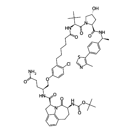 Cc1ncsc1-c1ccc([C@H](C)NC(=O)[C@@H]2C[C@@H](O)CN2C(=O)[C@@H](NC(=O)CCCCCc2cc(OC[C@H](CCC(N)=O)NC(=O)[C@@H]3Cc4cccc5c4N3C(=O)[C@@H](NC(=O)OC(C)(C)C)CC5)ccc2Cl)C(C)(C)C)cc1